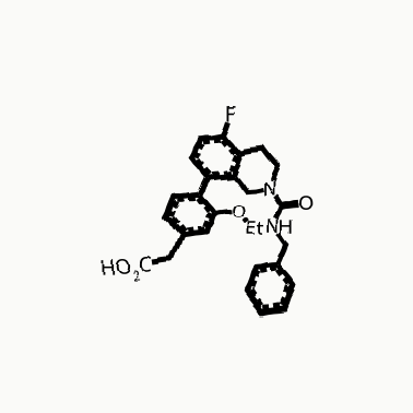 CCOc1cc(CC(=O)O)ccc1-c1ccc(F)c2c1CN(C(=O)NCc1ccccc1)CC2